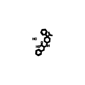 CN(C)C1(c2ccccc2)CCC(NC(Cc2ccccc2)C(=O)O)CC1.Cl